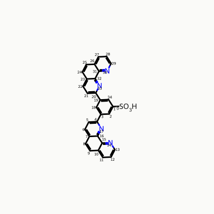 O=S(=O)(O)c1cc(-c2ccc3ccc4cccnc4c3n2)cc(-c2ccc3ccc4cccnc4c3n2)c1